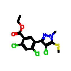 CCOC(=O)c1cc(-c2nn(C)c(SC)c2Cl)c(Cl)cc1Cl